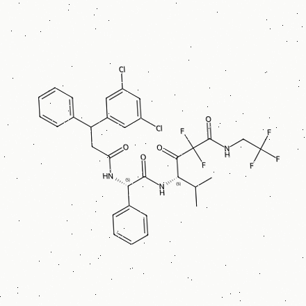 CC(C)[C@H](NC(=O)[C@@H](NC(=O)CC(c1ccccc1)c1cc(Cl)cc(Cl)c1)c1ccccc1)C(=O)C(F)(F)C(=O)NCC(F)(F)F